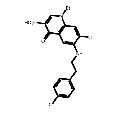 CCn1cc(C(=O)O)c(=O)c2cc(NCCc3ccc(Cl)cc3)c(Cl)cc21